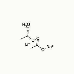 CC(=O)[O-].CC(=O)[O-].O.[Li+].[Na+]